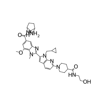 COc1cc(C(=O)N2CC3CCC2[C@@H]3N)cc2nc(-c3cc4ccc(N5CCC(C(=O)NCCO)CC5)nc4n3CC3CC3)n(C)c12